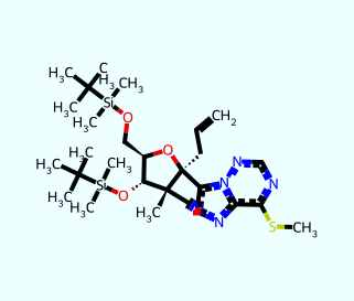 C=CC[C@@]1(c2cnc3c(SC)ncnn23)O[C@H](CO[Si](C)(C)C(C)(C)C)[C@@H](O[Si](C)(C)C(C)(C)C)[C@@]1(C)C#N